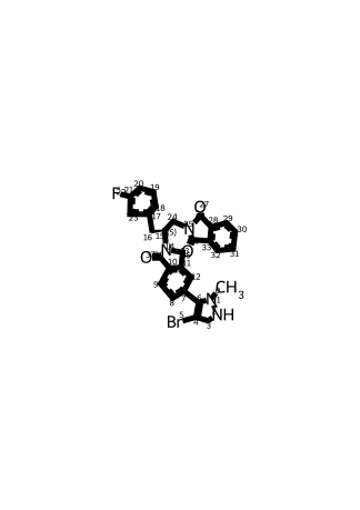 CN1NCC(Br)=C1c1ccc2c(c1)CN([C@@H](Cc1cccc(F)c1)CN1C(=O)c3ccccc3C1=O)C2=O